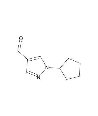 O=Cc1cnn(C2CCCC2)c1